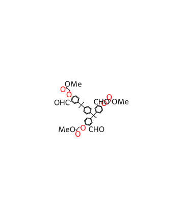 COC(=O)COc1ccc(C(C)(C)c2ccc(C(C)(c3ccc(OCC(=O)OC)c(C=O)c3)c3ccc(OCC(=O)OC)c(C=O)c3)cc2)cc1C=O